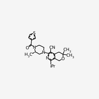 CC(C)c1nc(N2CCN(C(=O)c3ccsc3)[C@H](C)C2)c(C#N)c2c1COC(C)(C)C2